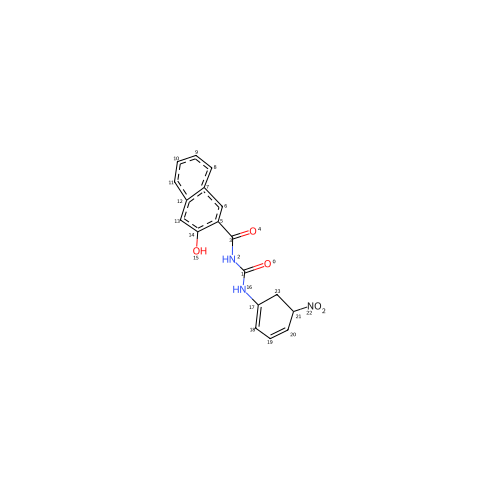 O=C(NC(=O)c1cc2ccccc2cc1O)NC1=CC=CC([N+](=O)[O-])C1